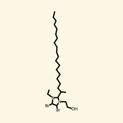 CCCCCCCCCCCCCCCCCCC(C)C1N(CC)C(Br)C(Br)N1CCO